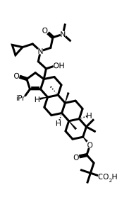 CC(C)C1=C2[C@H]3CC[C@@H]4[C@@]5(C)CC[C@H](OC(=O)CC(C)(C)C(=O)O)C(C)(C)[C@@H]5CC[C@@]4(C)[C@]3(C)CCC2(C(O)CN(CC(=O)N(C)C)CC2CC2)CC1=O